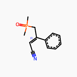 CP(C)(=O)C/C(=C/C#N)c1ccccc1